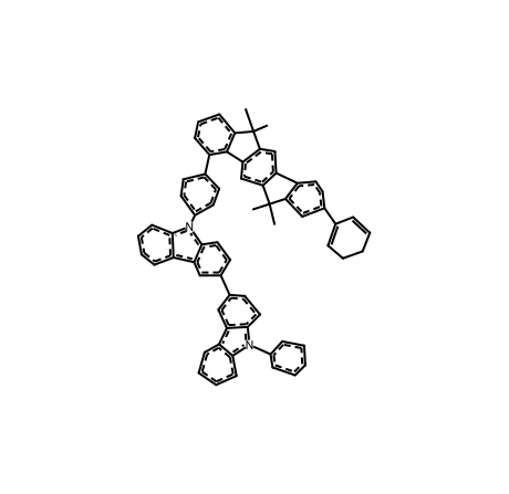 CC1(C)c2cc(C3=CCCC=C3)ccc2-c2cc3c(cc21)-c1c(-c2ccc(-n4c5ccccc5c5cc(-c6ccc7c(c6)c6ccccc6n7-c6ccccc6)ccc54)cc2)cccc1C3(C)C